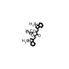 CCOC1(C)O/C(=C\c2cn(C)c3ccccc23)C(=O)/C(=C/c2cn(C)c3ccccc23)O1